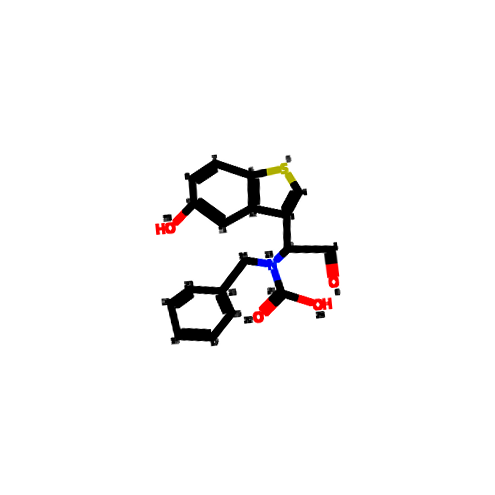 O=[C]C(c1csc2ccc(O)cc12)N(Cc1ccccc1)C(=O)O